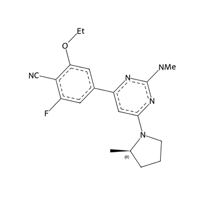 CCOc1cc(-c2cc(N3CCC[C@H]3C)nc(NC)n2)cc(F)c1C#N